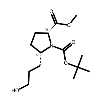 COC(=O)[C@H]1CC[C@@H](CCCO)N1C(=O)OC(C)(C)C